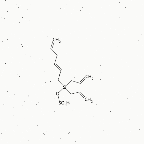 C=CCC=CC[Si](CC=C)(CC=C)OS(=O)(=O)O